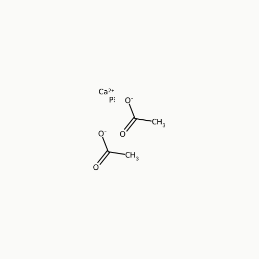 CC(=O)[O-].CC(=O)[O-].[Ca+2].[P]